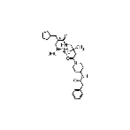 CC(C)(CNC(=O)[C@H](CC1CCCC1)CN(O)C=O)CC(=O)N1CCC(NC(=O)Cc2ccccc2)CC1